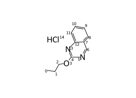 CCCOc1ncc2ccccc2n1.Cl